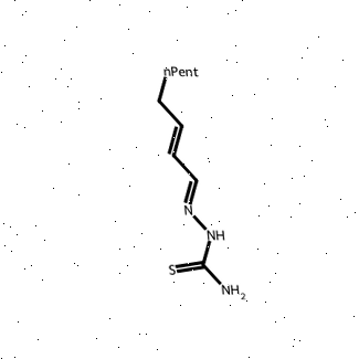 CCCCCC/C=C/C=N/NC(N)=S